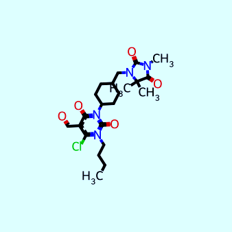 CCCCn1c(Cl)c(C=O)c(=O)n(C2CCC(CN3C(=O)N(C)C(=O)C3(C)C)CC2)c1=O